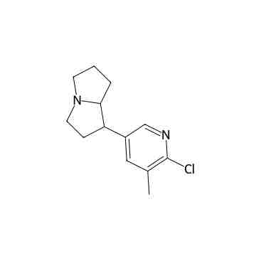 Cc1cc(C2CCN3CCCC23)cnc1Cl